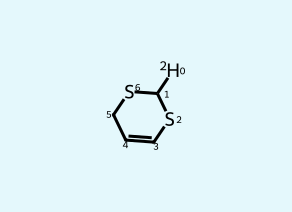 [2H]C1SC=CCS1